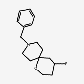 FC1CCOC2(CCN(Cc3ccccc3)CC2)C1